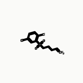 C=CCCCS(=O)(=O)c1cc(Cl)ccc1Cl